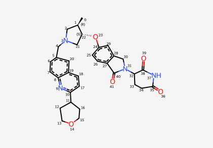 C[C@@H]1CN(Cc2ccc3nc(C4CCOCC4)ccc3c2)C[C@H]1Oc1ccc2c(c1)CN(C1CCC(=O)NC1=O)C2=O